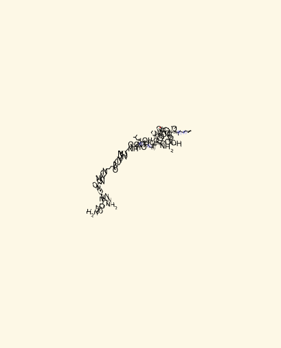 C=C/C=C/C=C(\C)[C@H](C[C@@H]1CC[C@@H](C)[C@](O)(C(=O)C(=O)N2CCCC[C@H]2C(=O)O[C@@H](C[C@@H](O)[C@H](C)/C=C(\C)[C@@H](O)[C@@H](O)/C(=N/OCC(=O)NCc2cnc(N3CCN(C(=O)CCCN4CCN(c5ncc(C(=O)N6CCC(n7nc(-c8ccc9oc(N)nc9c8)c8c(N)ncnc87)CC6)cn5)CC4)CC3)nc2)[C@H](C)CC(C)C)[C@H](N)C[C@@H]2CC[C@@H](O)[C@H](OC)C2)O1)OC